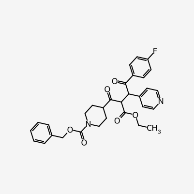 CCOC(=O)C(C(=O)C1CCN(C(=O)OCc2ccccc2)CC1)C(C(=O)c1ccc(F)cc1)c1ccncc1